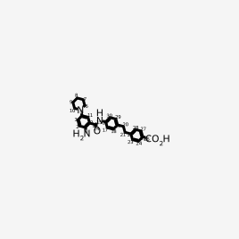 Nc1ccc(N2CCCCC2)cc1C(=O)Nc1ccc(CCc2ccc(C(=O)O)cc2)cc1